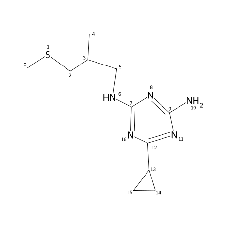 CSCC(C)CNc1nc(N)nc(C2CC2)n1